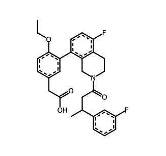 CCOc1ccc(CC(=O)O)cc1-c1ccc(F)c2c1CN(C(=O)CC(C)c1cccc(F)c1)CC2